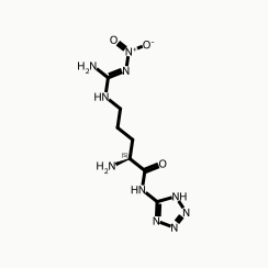 NC(=N[N+](=O)[O-])NCCC[C@H](N)C(=O)Nc1nnn[nH]1